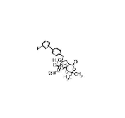 CC(C)(C)OC(=O)N[C@@](C)(Cc1ccc(-c2cccc(F)c2)cc1)CC1C(=O)OC(C)(C)OC1=O